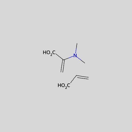 C=C(C(=O)O)N(C)C.C=CC(=O)O